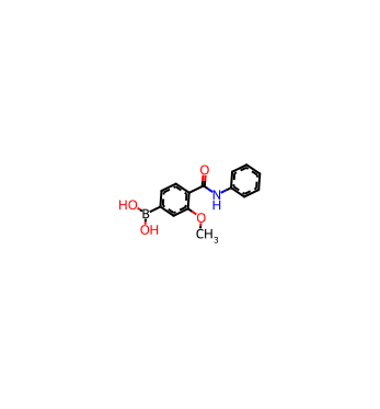 COc1cc(B(O)O)ccc1C(=O)Nc1ccccc1